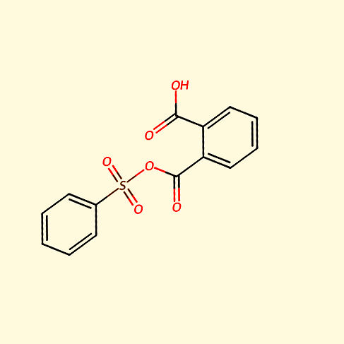 O=C(O)c1ccccc1C(=O)OS(=O)(=O)c1ccccc1